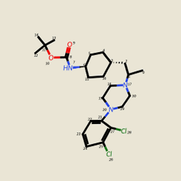 CC(C[C@H]1CC[C@H](NC(=O)OC(C)(C)C)CC1)N1CCN(c2cccc(Cl)c2Cl)CC1